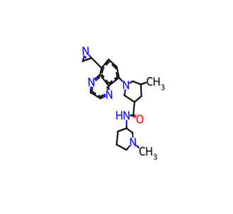 CC1CC(C(=O)NC2CCCN(C)C2)CN(c2ccc(C3C=N3)c3nccnc23)C1